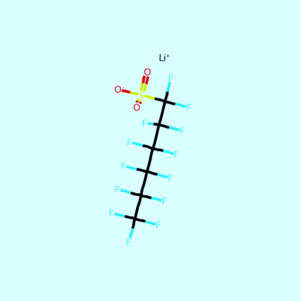 O=S(=O)([O-])C(F)(F)C(F)(F)C(F)(F)C(F)(F)C(F)(F)C(F)(F)F.[Li+]